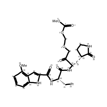 COC(=O)OCOCC(=O)[C@H](C[C@@H]1CCNC1=O)NC(=O)[C@H](CC(C)C)NC(=O)c1cc2c(OC)cccc2[nH]1